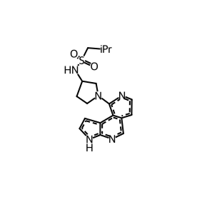 CC(C)CS(=O)(=O)NC1CCN(c2nccc3cnc4[nH]ccc4c23)C1